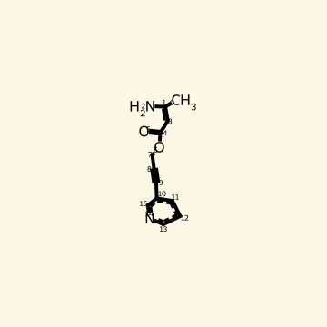 CC(N)=CC(=O)OCC#Cc1cccnc1